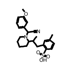 COc1cccc(C(C#N)N2CCCCC2C(C)Cc2cc(C)ccc2S(=O)(=O)O)c1